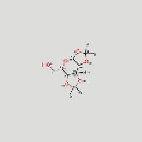 CC1(C)OC2O[C@@H](CO)C3OC(C)(C)O[C@H]3C2O1